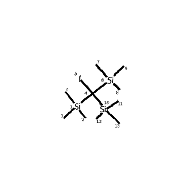 C[Si](C)(C)C(I)([Si](C)(C)C)[Si](C)(C)C